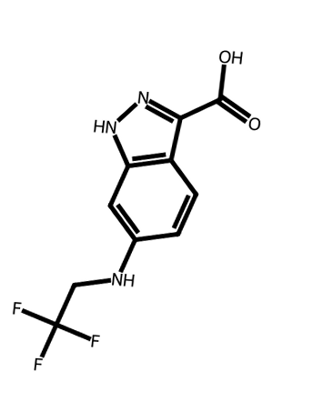 O=C(O)c1n[nH]c2cc(NCC(F)(F)F)ccc12